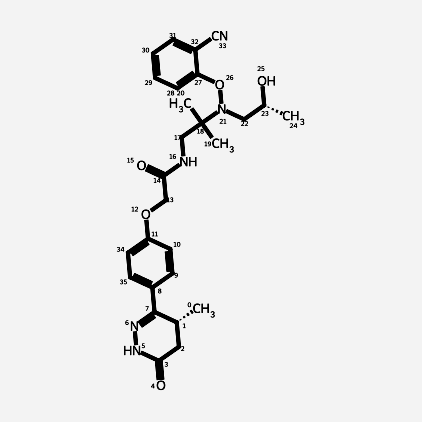 C[C@@H]1CC(=O)NN=C1c1ccc(OCC(=O)NCC(C)(C)N(C[C@@H](C)O)Oc2ccccc2C#N)cc1